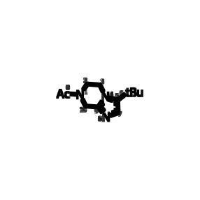 CC(=O)N1CCn2c(C(C)(C)C)cnc2C1